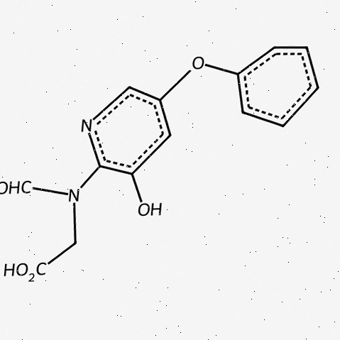 O=CN(CC(=O)O)c1ncc(Oc2ccccc2)cc1O